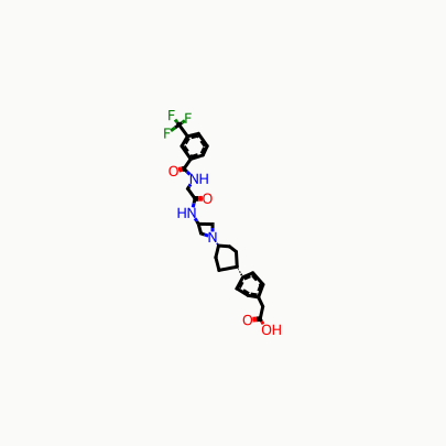 O=C(O)Cc1ccc([C@H]2CC[C@@H](N3CC(NC(=O)CNC(=O)c4cccc(C(F)(F)F)c4)C3)CC2)cc1